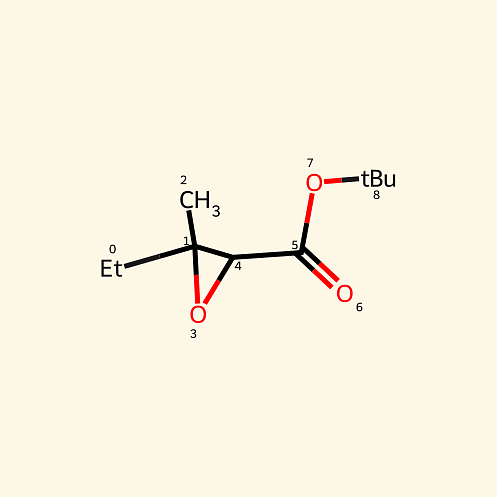 CCC1(C)OC1C(=O)OC(C)(C)C